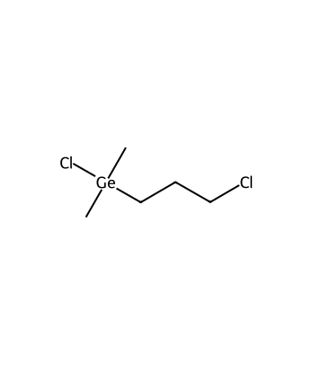 [CH3][Ge]([CH3])([Cl])[CH2]CCCl